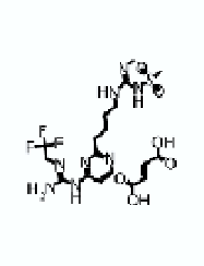 CN=C(NCCCCc1nccc(NC(N)=NCC(F)(F)F)n1)NS(C)(=O)=O.O=C(O)C=CC(=O)O